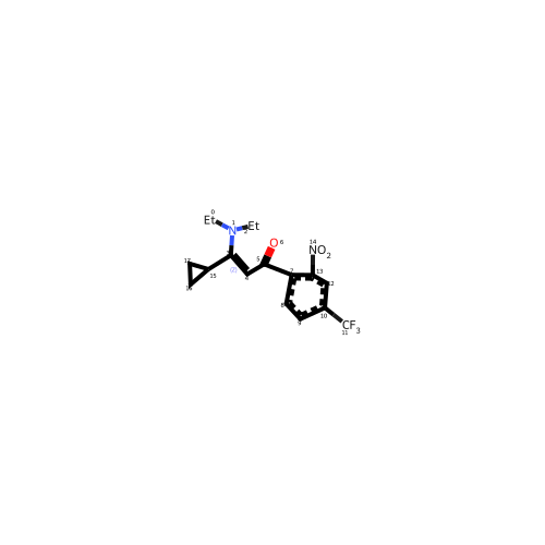 CCN(CC)/C(=C\C(=O)c1ccc(C(F)(F)F)cc1[N+](=O)[O-])C1CC1